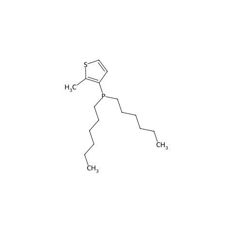 CCCCCCP(CCCCCC)c1ccsc1C